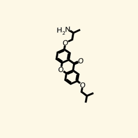 CC(C)COc1ccc2oc3ccc(OCC(C)N)cc3c(=O)c2c1